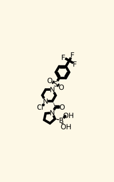 O=C([C@H]1CN(S(=O)(=O)c2ccc(C(F)(F)F)cc2)CCN1Cl)N1CCC[C@H]1B(O)O